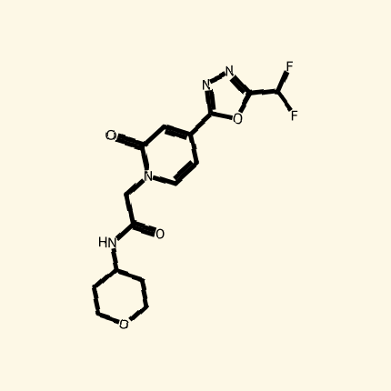 O=C(Cn1ccc(-c2nnc(C(F)F)o2)cc1=O)NC1CCOCC1